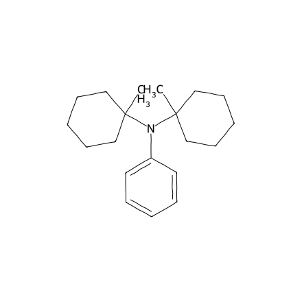 CC1(N(c2ccccc2)C2(C)CCCCC2)CCCCC1